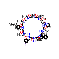 CCCC[C@@H]1NC(=O)[C@H](Cc2cccc(I)c2)NC(=O)CN(C)C(=O)[C@H](Cc2ccc(OC)cc2)N(C)C(=O)CN(C)C(=O)CN(C)C(=O)[C@H]([C@@H](C)CC)NC(=O)[C@H](CC(C)C)N(C)C(=O)C[C@@H](C(=O)N2CCCCC2)N(C)C(=O)[C@H](CC(C)C)NC(=O)[C@](C)(Cc2ccccc2)N(C)C1=O